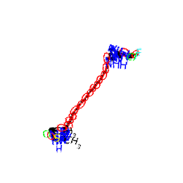 Cc1nc(Nc2ncc(C(=O)Nc3c(C)cccc3Cl)s2)cc(N2CCN(C(=O)CCOCCOCCOCCOCCOCCOCCOCCOCCOCCOCCOCCOCCNC(=O)C3CCN(c4ncc(C(=O)Nc5ccc(OC(F)(F)Cl)cc5)cc4-c4ccn[nH]4)CC3)CC2)n1